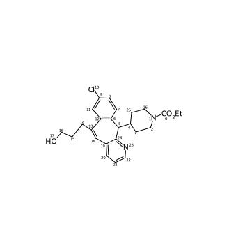 CCOC(=O)N1CCC(C2c3ccc(Cl)cc3C(CCCO)=Cc3cccnc32)CC1